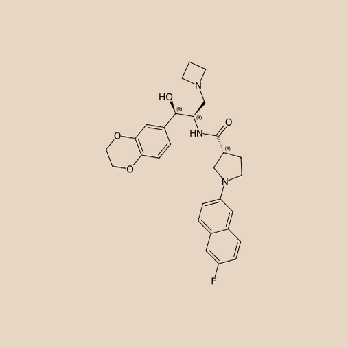 O=C(N[C@H](CN1CCC1)[C@H](O)c1ccc2c(c1)OCCO2)[C@@H]1CCN(c2ccc3cc(F)ccc3c2)C1